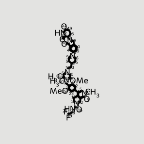 COc1cc(-c2cn(C)c(=O)c3c2CCN(C(=O)NCC(F)F)C3)cc(OC)c1CN1CCN(CCC2CCN(c3ccc4c(c3)C(=O)N(C3CCC(=O)NC3=O)C4)CC2)CC1(C)C